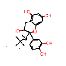 CC(C)(C)[Si](C)(C)C1(c2ccc(O)c(O)c2)Oc2cc(O)cc(O)c2CC1O